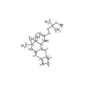 CC(C)(CBr)CCC(=O)NC1c2cc3nonc3cc2OC(C)(C)C1O